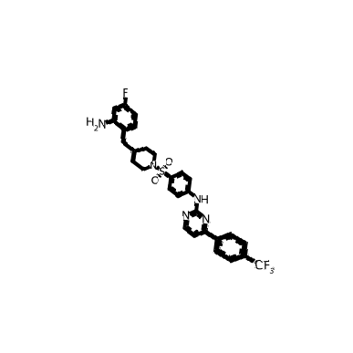 Nc1cc(F)ccc1CC1CCN(S(=O)(=O)c2ccc(Nc3nccc(-c4ccc(C(F)(F)F)cc4)n3)cc2)CC1